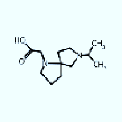 CC(C)N1CCC2(CCCN2CC(=O)O)C1